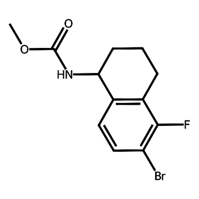 COC(=O)NC1CCCc2c1ccc(Br)c2F